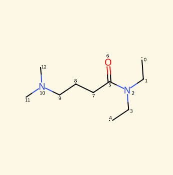 [CH2]CN(C[CH2])C(=O)CCCN(C)C